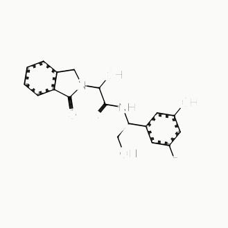 Cc1cc(F)cc([C@@H](CO)NC(=O)C(C)N2Cc3ccccc3C2=O)c1